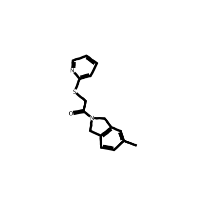 Cc1ccc2c(c1)CN(C(=O)CSc1ccccn1)C2